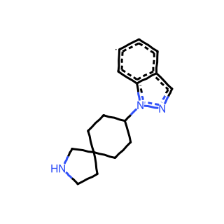 [c]1ccc2cnn(C3CCC4(CCNC4)CC3)c2c1